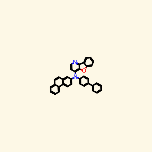 c1ccc(-c2ccc(N(c3ccc4c(ccc5ccccc54)c3)c3ccnc4c3oc3ccccc34)cc2)cc1